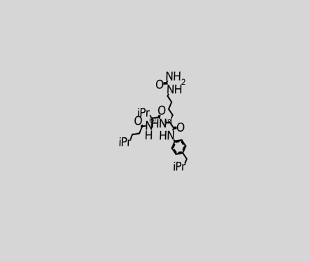 CC(C)CCC(=O)N[C@H](C(=O)N[C@@H](CCCCNC(N)=O)C(=O)Nc1ccc(CC(C)C)cc1)C(C)C